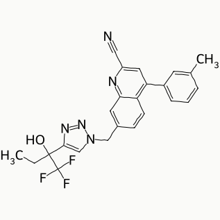 CCC(O)(c1cn(Cc2ccc3c(-c4cccc(C)c4)cc(C#N)nc3c2)nn1)C(F)(F)F